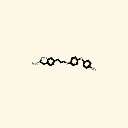 CO[C@@H](Cc1ccc(CCCOc2ccc(Oc3ccc(C(F)(F)F)cc3)cc2)cc1)C(=O)O